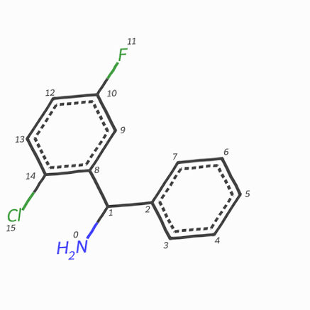 NC(c1ccccc1)c1cc(F)ccc1Cl